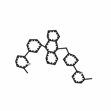 Cc1cccc(-c2ccc(Cc3c4ccccc4c(-c4cccc(-c5cccc(C)n5)c4)c4ccccc34)cc2)n1